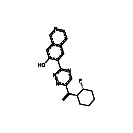 C=C(c1cnc(-c2cc3ccncc3cc2O)nn1)[C@@H]1CCCC[C@H]1F